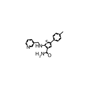 Cc1ccc(-c2cc(C(N)=O)c(NCc3cccnc3)s2)cc1